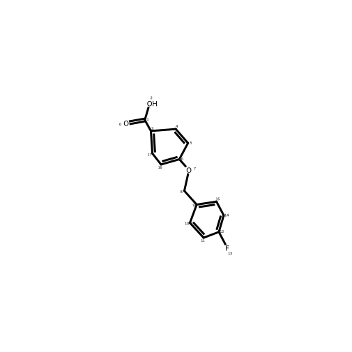 O=C(O)c1ccc(OCc2ccc(F)cc2)cc1